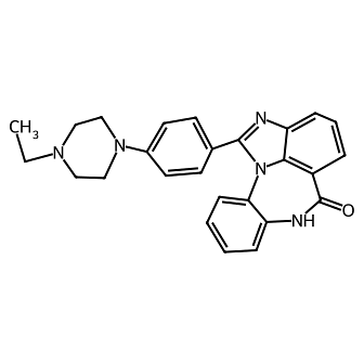 CCN1CCN(c2ccc(-c3nc4cccc5c4n3-c3ccccc3NC5=O)cc2)CC1